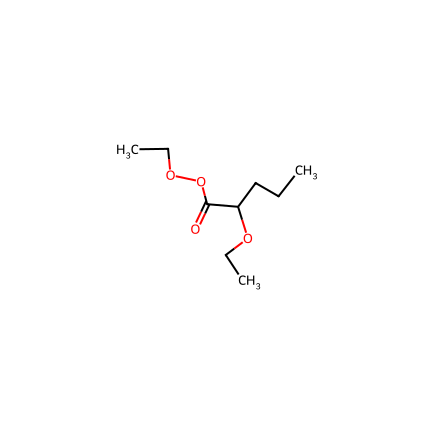 CCCC(OCC)C(=O)OOCC